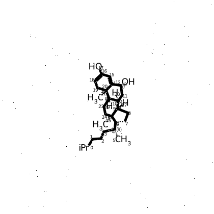 CC(C)CCC[C@@H](C)[C@H]1CC[C@H]2[C@@H]3C[C@H](O)C4=CC(O)=CC[C@]4(C)[C@H]3CC[C@]12C